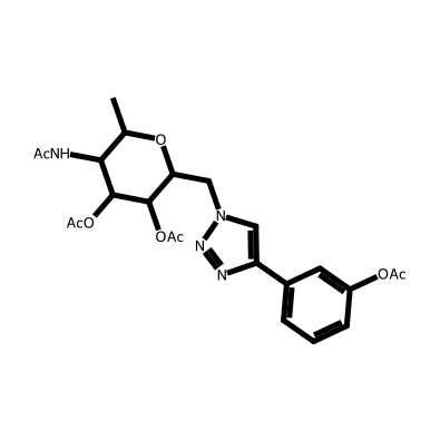 CC(=O)NC1C(C)OC(Cn2cc(-c3cccc(OC(C)=O)c3)nn2)C(OC(C)=O)C1OC(C)=O